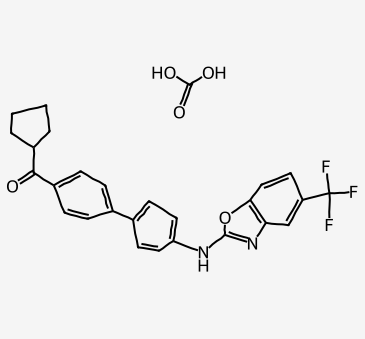 O=C(O)O.O=C(c1ccc(-c2ccc(Nc3nc4cc(C(F)(F)F)ccc4o3)cc2)cc1)C1CCCC1